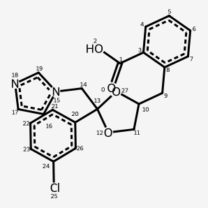 O=C(O)c1ccccc1CC1COC(Cn2ccnc2)(c2cccc(Cl)c2)O1